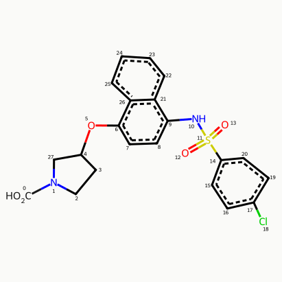 O=C(O)N1CCC(Oc2ccc(NS(=O)(=O)c3ccc(Cl)cc3)c3ccccc23)C1